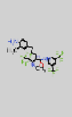 C/N=C(\C(=C/CCc1ccc(N)c(C)c1)C(=O)Nc1cc(C(F)(F)F)cc(C(F)(F)F)c1)C(F)(F)C(F)(F)F